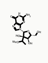 COC(C)[C@@]1(O)[C@H](O)[C@@H](CO)O[C@H]1n1cnc2c(=O)[nH]c(N)nc21